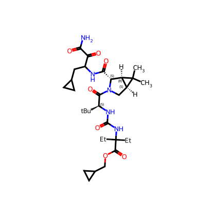 CCC(CC)(NC(=O)N[C@H](C(=O)N1C[C@H]2[C@@H]([C@H]1C(=O)NC(CC1CC1)C(=O)C(N)=O)C2(C)C)C(C)(C)C)C(=O)OCC1CC1